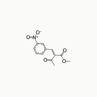 COC(=O)/C(=C/c1cccc([N+](=O)[O-])c1)C(C)=O